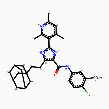 Cc1cc(C)c(-c2nc(C(=O)Nc3ccc(F)c(C(=O)O)c3)c(CCC34CC5CC(CC(C5)C3)C4)[nH]2)c(C)n1